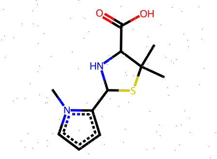 Cn1cccc1C1NC(C(=O)O)C(C)(C)S1